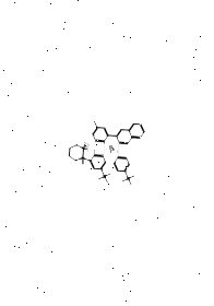 Cc1cc2c3c(c1)N1c4c(cc(C(C)(C)C)cc4C4(C)CCCCC14C)B3N(c1ccc(C(C)(C)C)cc1)c1cc3ccccc3cc1-2